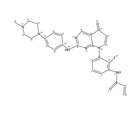 C=CC(=O)Nc1cccc(-n2ccc(=O)c3cnc(Nc4ccc(N5CCN(C)CC5)cc4)nc32)c1F